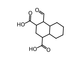 O=CC1C(C(=O)O)CC(C(=O)O)C2CCCCC12